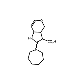 O=C(O)C1C2COC=CC2NN1N1CCCCCC1